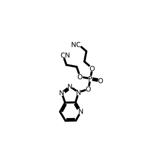 N#CCCOP(=O)(OCCC#N)On1nnc2cccnc21